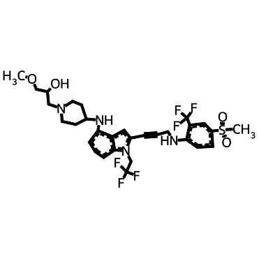 COCC(O)CN1CCC(Nc2cccc3c2cc(C#CCNc2ccc(S(C)(=O)=O)cc2C(F)(F)F)n3CC(F)(F)F)CC1